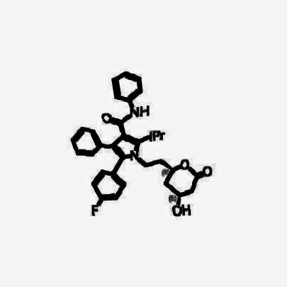 CC(C)c1c(C(=O)Nc2ccccc2)c(-c2ccccc2)c(-c2ccc(F)cc2)n1CC[C@@H]1C[C@H](O)CC(=O)O1